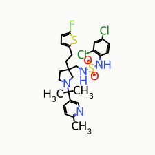 Cc1ccc(C(C)(C)N2CCC(CCc3ccc(F)s3)(CNS(=O)(=O)Nc3ccc(Cl)cc3Cl)C2)cn1